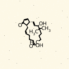 CCCCC(C)(C)[C@H](O)/C=C/[C@H]1C=CC(=O)[C@@H]1C/C=C\CCCC(=O)O